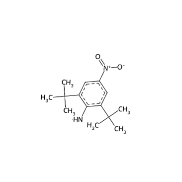 CC(C)(C)c1cc([N+](=O)[O-])cc(C(C)(C)C)c1[NH]